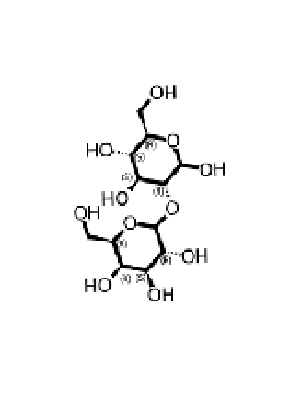 OC[C@H]1OC(O[C@H]2C(O)O[C@H](CO)[C@@H](O)[C@@H]2O)[C@H](O)[C@@H](O)[C@H]1O